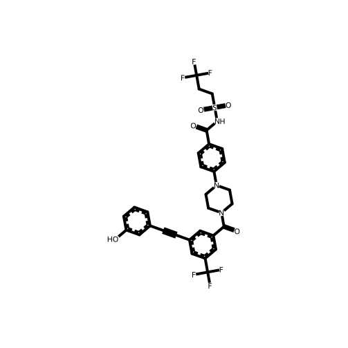 O=C(NS(=O)(=O)CCC(F)(F)F)c1ccc(N2CCN(C(=O)c3cc(C#Cc4cccc(O)c4)cc(C(F)(F)F)c3)CC2)cc1